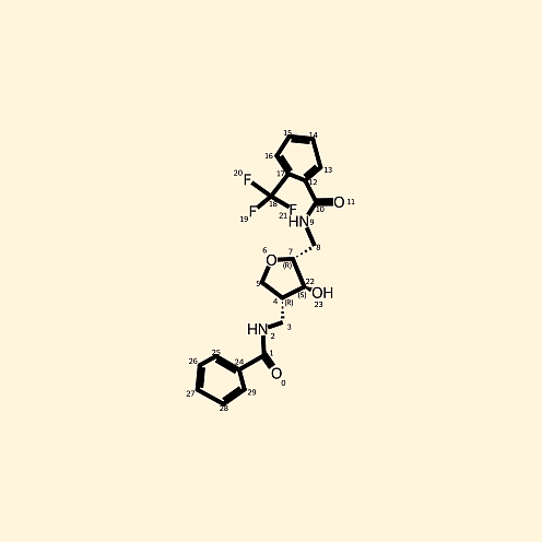 O=C(NC[C@@H]1CO[C@H](CNC(=O)c2ccccc2C(F)(F)F)[C@H]1O)c1ccccc1